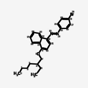 CCCCC(CC)COc1ccc(/N=N/c2ccc(Br)cc2)c2ccccc12